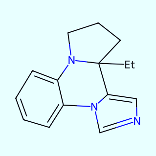 CCC12CCCN1c1ccccc1-n1cncc12